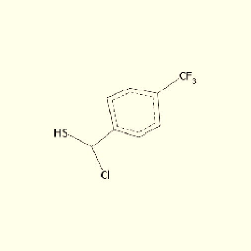 FC(F)(F)c1ccc(C(S)Cl)cc1